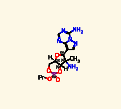 CC(C)O[P@]1(=O)OC[C@H]2O[C@@H](c3cnn4c(N)ncnc34)[C@](C)(N)[C@@H]2O1